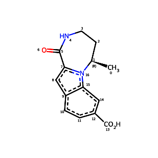 C[C@@H]1CCNC(=O)c2cc3ccc(C(=O)O)cc3n21